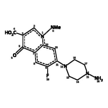 CNn1cc(C(=O)O)c(=O)c2cc(F)c(N3CCN(N)CC3)cc21